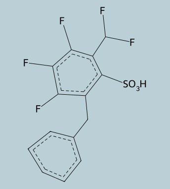 O=S(=O)(O)c1c(Cc2ccccc2)c(F)c(F)c(F)c1C(F)F